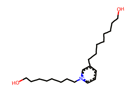 OCCCCCCCCc1ccc[n+](CCCCCCCCO)c1